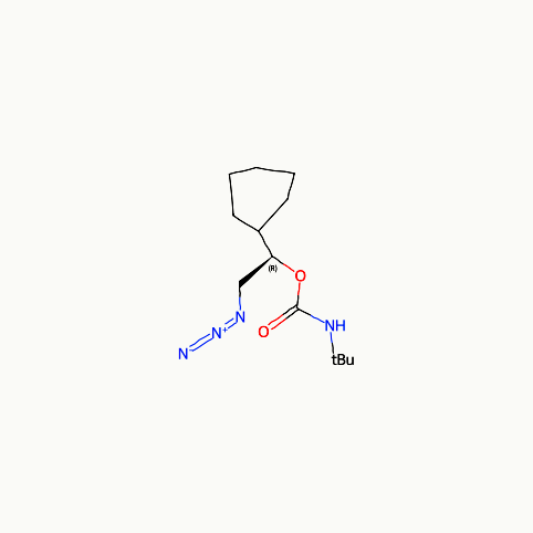 CC(C)(C)NC(=O)O[C@@H](CN=[N+]=[N-])C1CCCCC1